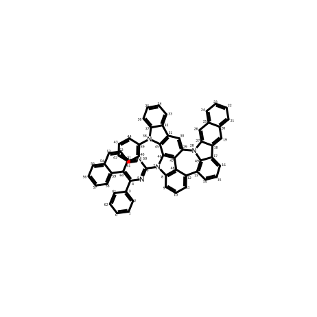 c1ccc(-c2nc(-n3c4cccc5c6cccc7c8cc9ccccc9cc8n(c8cc9c%10ccccc%10n(-c%10ccccc%10)c9c3c8c54)c67)nc3ccc4ccccc4c23)cc1